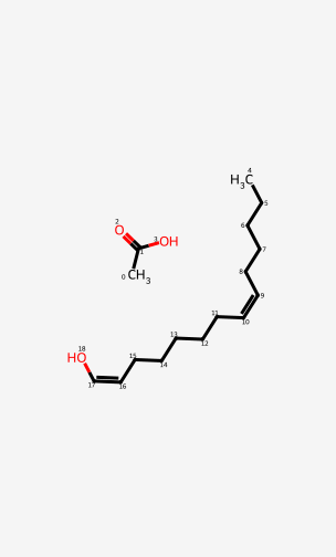 CC(=O)O.CCCCC/C=C\CCCCC/C=C\O